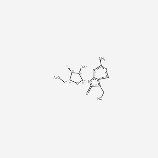 CC(=O)OC[C@H]1O[C@@H](n2c(=O)n(CC#N)c3cnc(N)nc32)[C@H](OC(C)=O)[C@@H]1F